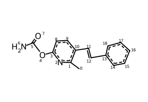 Cc1nc(OC(N)=O)ccc1/C=C/c1ccccc1